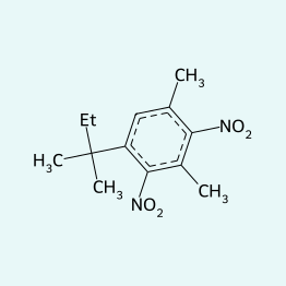 CCC(C)(C)c1cc(C)c([N+](=O)[O-])c(C)c1[N+](=O)[O-]